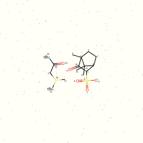 CC12CCC(C(S(=O)(=O)[O-])C1=O)C2(C)C.C[S+](CC(=O)C(C)(C)C)C(C)(C)C